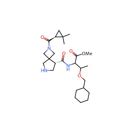 COC(=O)C(NC(=O)[C@@H]1CNCC12CN(C(=O)[C@H]1CC1(C)C)C2)C(C)OCC1CCCCC1